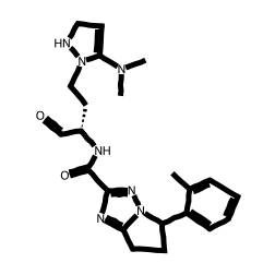 Cc1ccccc1C1CCc2nc(C(=O)N[C@H](C=O)CCN3NCC=C3N(C)C)nn21